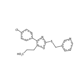 O=C(O)CCc1oc(SCc2cccnc2)nc1-c1ccc(Cl)cc1